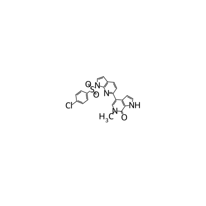 Cn1cc(-c2ccc3ccn(S(=O)(=O)c4ccc(Cl)cc4)c3n2)c2cc[nH]c2c1=O